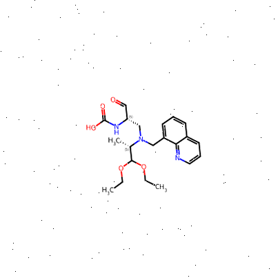 CCOC(OCC)[C@H](C)N(Cc1cccc2cccnc12)C[C@@H](C=O)NC(=O)O